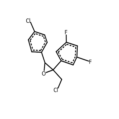 Fc1cc(F)cc(C2(CCl)OC2c2ccc(Cl)cc2)c1